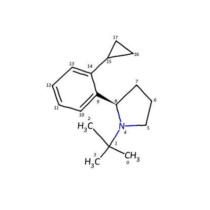 CC(C)(C)N1CCC[C@@H]1c1ccccc1C1CC1